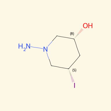 NN1C[C@H](O)C[C@H](I)C1